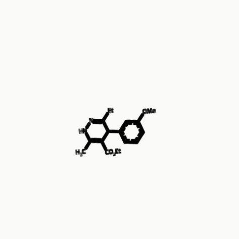 CCOC(=O)C1=C(C)NN=C(CC)C1c1cccc(OC)c1